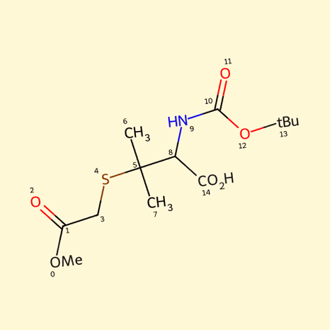 COC(=O)CSC(C)(C)C(NC(=O)OC(C)(C)C)C(=O)O